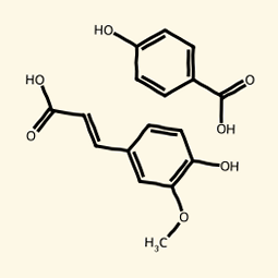 COc1cc(/C=C/C(=O)O)ccc1O.O=C(O)c1ccc(O)cc1